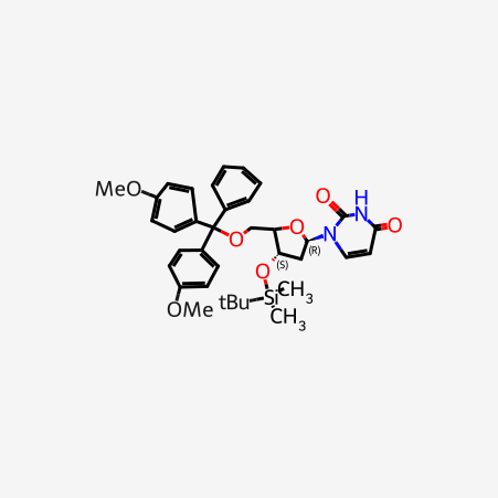 COc1ccc(C(OCC2O[C@@H](n3ccc(=O)[nH]c3=O)C[C@@H]2O[Si](C)(C)C(C)(C)C)(c2ccccc2)c2ccc(OC)cc2)cc1